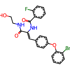 O=C(NCCO)C(=Cc1ccc(Oc2ccccc2Br)cc1)NC(=O)c1ccccc1F